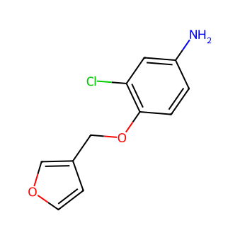 Nc1ccc(OCc2ccoc2)c(Cl)c1